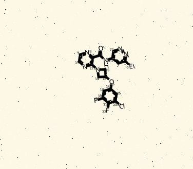 CCc1cc(NC(=O)c2nccnc2N2CC(Oc3cc(F)c(F)c(Cl)c3)C2)cnn1